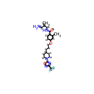 Cc1cc(OCCCC2CCN(c3nc(C(F)F)no3)CC2)ccc1C(=O)NC[C@@H](C)CN